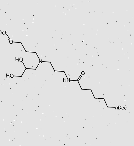 CCCCCCCCCCCCCCCC(=O)NCCCN(CCCOCCCCCCCC)CC(O)CO